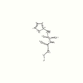 CCOC(=O)NS(=O)(=O)Nc1ccn[nH]1